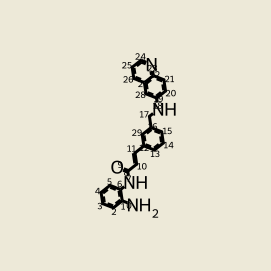 Nc1ccccc1NC(=O)/C=C/c1cccc(CNc2ccc3ncccc3c2)c1